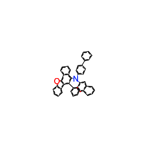 c1ccc(-c2ccc(N(c3ccc4ccccc4c3)c3c(-c4ccccc4)c4c5ccccc5oc4c4ccccc34)cc2)cc1